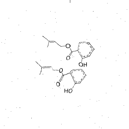 CC(C)=CCOC(=O)c1ccccc1O.CC(C)=CCOC(=O)c1ccccc1O